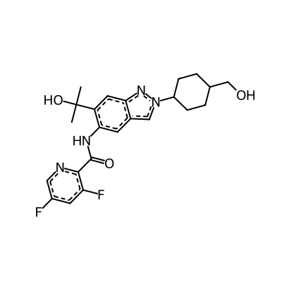 CC(C)(O)c1cc2nn(C3CCC(CO)CC3)cc2cc1NC(=O)c1ncc(F)cc1F